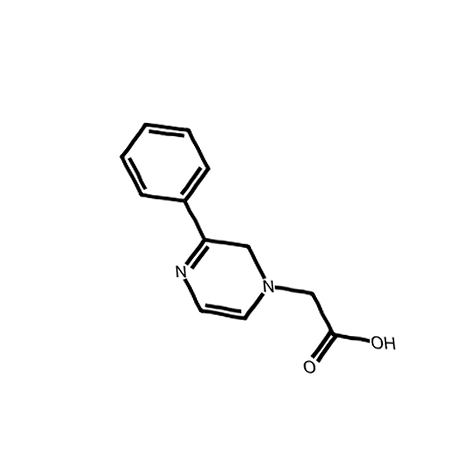 O=C(O)CN1C=CN=C(c2ccccc2)C1